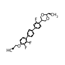 C#CCOc1ccc(-c2ccc(-c3ccc(C4COC(C=C)OC4)c(F)c3)cc2)c(F)c1F